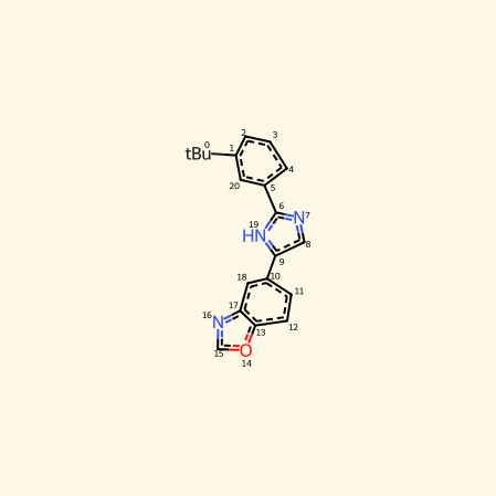 CC(C)(C)c1cccc(-c2ncc(-c3ccc4ocnc4c3)[nH]2)c1